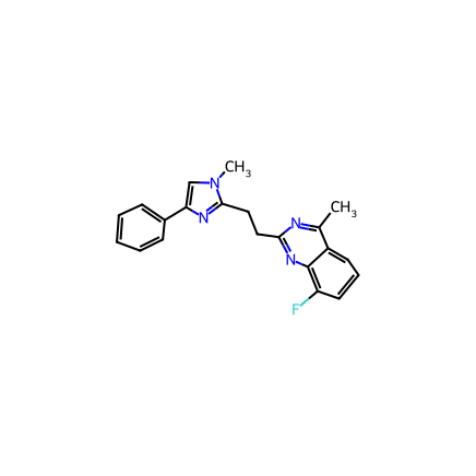 Cc1nc(CCc2nc(-c3ccccc3)cn2C)nc2c(F)cccc12